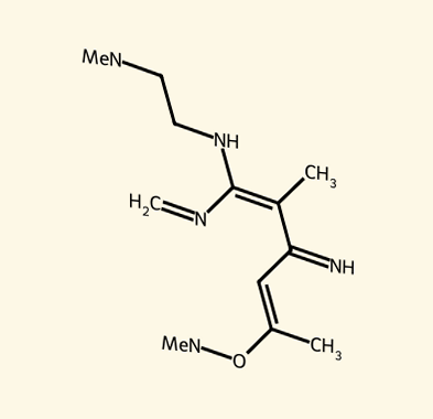 C=N/C(NCCNC)=C(/C)C(=N)/C=C(\C)ONC